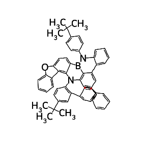 CC(C)(C)c1ccc(N2B3c4ccc5oc6ccccc6c5c4N(c4ccc(C(C)(C)C)cc4-c4ccccc4)c4cc(-c5ccccc5)cc(c43)-c3ccccc32)cc1